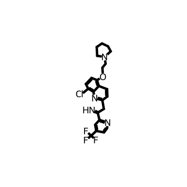 N=C(Cc1ccc2c(OCCN3CCCCC3)ccc(Cl)c2n1)c1cc(C(F)(F)F)ccn1